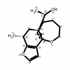 C[C@@H]1C[C@@]23CCCCO[C@@]2(CC=C3[C@@H](C)O)c2ccoc21